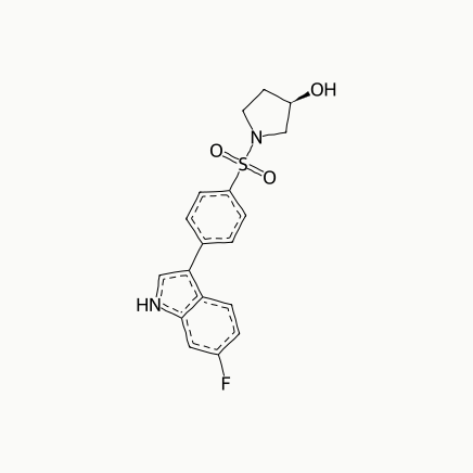 O=S(=O)(c1ccc(-c2c[nH]c3cc(F)ccc23)cc1)N1CC[C@@H](O)C1